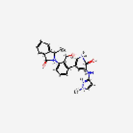 CCCCC1c2ccccc2C(=O)N1c1cccc(-c2cc(Nc3ccn(CC)n3)c(=O)n(C)c2)c1CO